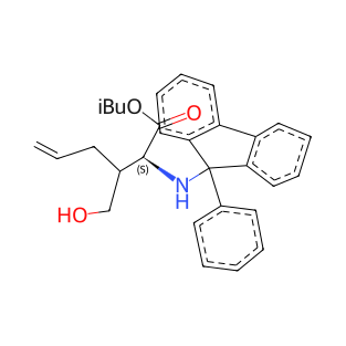 C=CCC(CO)[C@H](NC1(c2ccccc2)c2ccccc2-c2ccccc21)C(=O)OCC(C)C